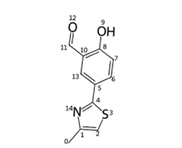 Cc1csc(-c2ccc(O)c(C=O)c2)n1